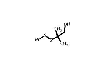 CC(C)SSC(C)(C)CO